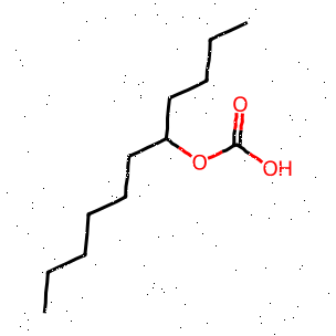 CCCCCCC(CCCC)OC(=O)O